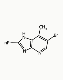 CCCc1nc2ncc(Br)c(C)c2[nH]1